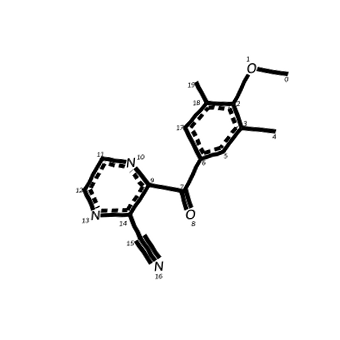 COc1c(C)cc(C(=O)c2nccnc2C#N)cc1C